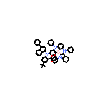 CC(C)(C)c1ccc(N(c2ccc3c(c2)N(c2ccccc2)c2cccc4c2B3c2c(c3c(n2-c2ccccc2)CCCC3)N4c2ccccc2)c2ccc(-c3ccccc3)c3ccccc23)c(-c2ccccc2)c1